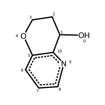 OC1CCOc2cccnc21